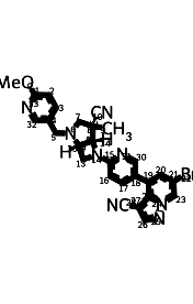 COc1ccc(CN2C[C@](C)(C#N)[C@H]3[C@@H]2CN3c2ccc(-c3cc(Br)cn4ncc(C#N)c34)cn2)cn1